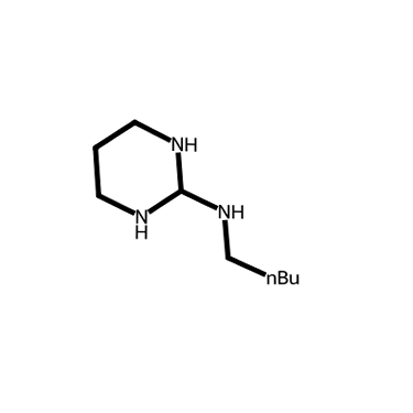 CCCCCNC1NCCCN1